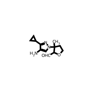 CC1(n2cc(N)c(C3CC3)n2)CCOC1C=O